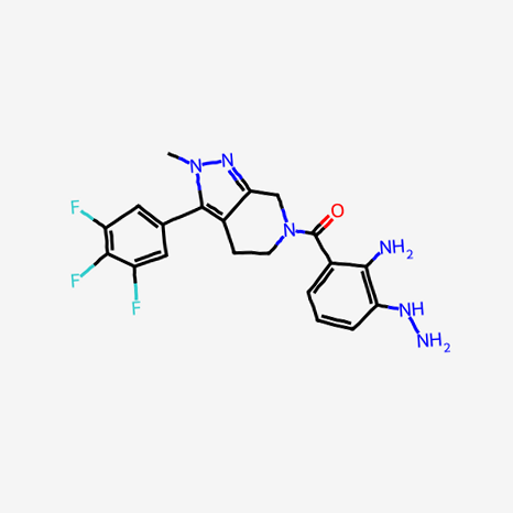 Cn1nc2c(c1-c1cc(F)c(F)c(F)c1)CCN(C(=O)c1cccc(NN)c1N)C2